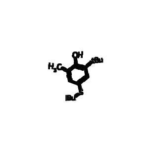 CCC(C)Sc1cc(C)c(O)c(C(C)(C)C)c1